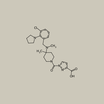 CN(Cc1cccc(Cl)c1N1CCCC1)C1(C)CCN(C(=O)n2ccc(C(=O)O)n2)CC1